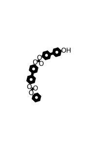 O=C(Oc1ccccc1)Oc1ccc(-c2ccc(OC(=O)Oc3ccc(-c4ccc(O)cc4)cc3)cc2)cc1